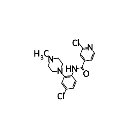 CN1CCN(c2cc(Cl)ccc2NC(=O)c2ccnc(Cl)c2)CC1